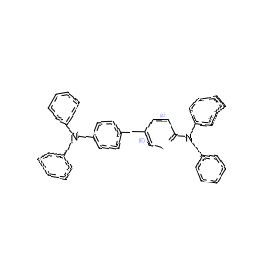 C=C(/C=C\C(=C/C)c1ccc(N(c2ccccc2)c2ccccc2)cc1)N(c1ccccc1)c1ccccc1